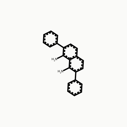 Nc1c(-c2ccccc2)ccc2ccc(-c3ccccc3)c(N)c12